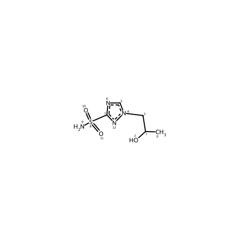 CC(O)Cn1cnc(S(N)(=O)=O)n1